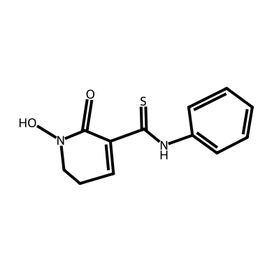 O=C1C(C(=S)Nc2ccccc2)=CCCN1O